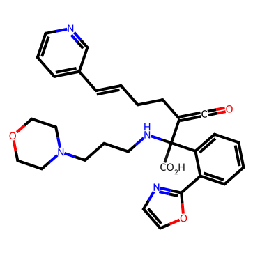 O=C=C(CCC=Cc1cccnc1)C(NCCCN1CCOCC1)(C(=O)O)c1ccccc1-c1ncco1